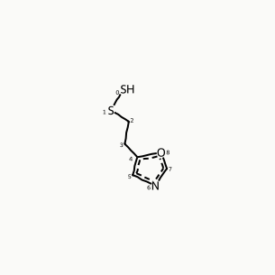 SSCCc1cnco1